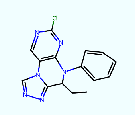 CCC1c2nncn2-c2cnc(Cl)nc2N1c1ccccc1